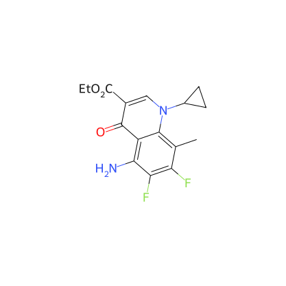 CCOC(=O)c1cn(C2CC2)c2c(C)c(F)c(F)c(N)c2c1=O